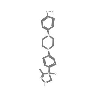 COc1ccc(N2CCN(c3ccc([N+]4([O-])CNN=C4C)cc3)CC2)cc1